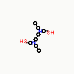 OCc1ccc(N(c2ccc(-c3ccccc3)cc2)c2ccc(-c3ccc(N(c4ccc(CO)cc4)c4ccc(-c5ccccc5)cc4)cc3)cc2)cc1